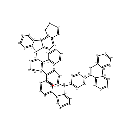 C1=Cc2ccc3c(c2CC1)c1ccccc1n3-c1cccc(-c2ccc(N(c3ccc(-c4cc5ccccc5c5ccccc45)cc3)c3ccccc3-c3ccccc3)cc2)c1-c1ccccc1